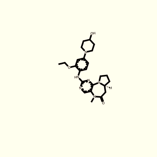 CCOc1cc(N2CCC(O)CC2)ccc1Nc1ncc2c(n1)N1CCC[C@H]1CC(=O)N2C